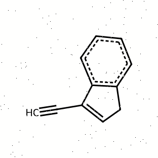 C#CC1=CCc2ccccc21